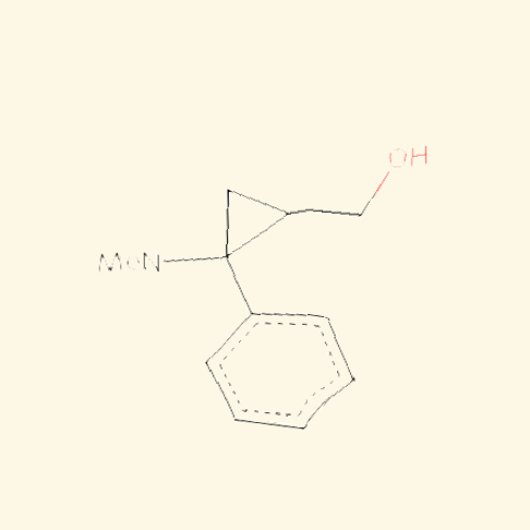 CNC1(c2ccccc2)CC1CO